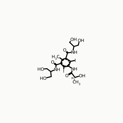 Cc1c(C(=O)NC(CO)CO)c(I)c(NC(=O)[C@@H](C)O)c(I)c1C(=O)NC(CO)CO